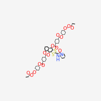 C=CC(=O)OCOC1CCC(OC(=O)C2CCC(C(=O)Oc3c4c(c(OC(=O)C5CCC(C(=O)OC6CCC(OCOC(=O)C=C)CC6)CC5)c5ccccc35)SC(=C3NC5C=CC=CN5C3=O)S4)CC2)CC1